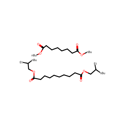 CCCCC(CC)COC(=O)CCCCCCCCC(=O)OCC(CC)CCCC.CCCCOC(=O)CCCCCCC(=O)OCCCC